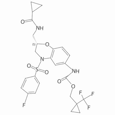 O=C(Nc1ccc2c(c1)N(S(=O)(=O)c1ccc(F)cc1)C[C@H](CNC(=O)C1CC1)O2)OCC1(C(F)(F)F)CC1